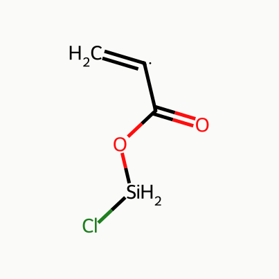 C=[C]C(=O)O[SiH2]Cl